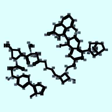 Cc1ncsc1-c1ccc([C@H](C)NC(=O)[C@@H]2C[C@@H](O)CN2C(=O)[C@@H](NC(=O)CCCCN2C[C@@H](C)[C@H]2COc2nc(N3CC4CCC(C3)N4)c3cnc(-c4[nH]c(=O)cc5cccc(F)c45)c(F)c3n2)C(C)(C)C)cc1